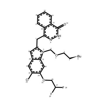 CC[C@H](C)CCOCn1c(Cc2n[nH]c(=O)c3ccccc23)cc2cc(Cl)c(OCC(F)F)cc21